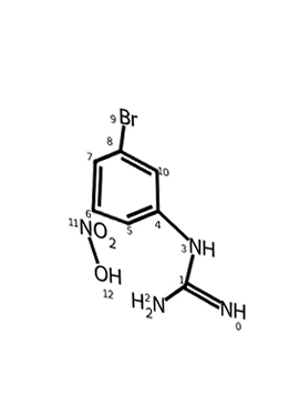 N=C(N)Nc1cccc(Br)c1.O=[N+]([O-])O